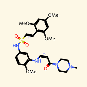 COc1cc(OC)c(/C=C/S(=O)(=O)Nc2ccc(OC)c(N/C=C\C(=O)N3CCN(C)CC3)c2)c(OC)c1